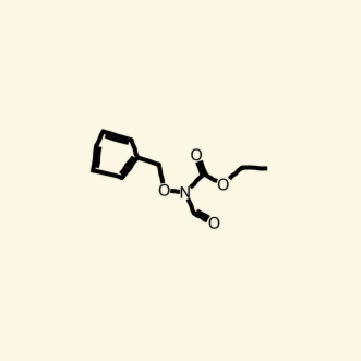 CCOC(=O)N(C=O)OCc1ccccc1